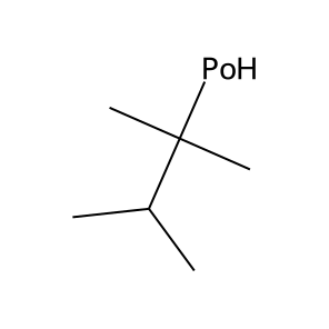 CC(C)[C](C)(C)[PoH]